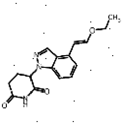 CCO/C=C/c1cccc2c1cnn2C1CCC(=O)NC1=O